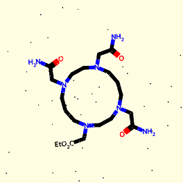 CCOC(=O)CN1CCCN(CC(N)=O)CCN(CC(N)=O)CCCN(CC(N)=O)CC1